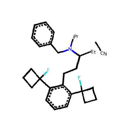 CC#N.CCC(CCc1c(C2(F)CCC2)cccc1C1(F)CCC1)N(Cc1ccccc1)C(C)C